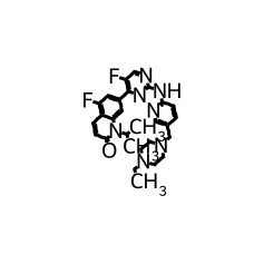 CCN1CCN(Cc2ccc(Nc3ncc(F)c(-c4cc(F)c5ccc(=O)n(C(C)C)c5c4)n3)nc2)CC1